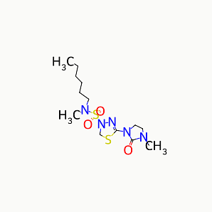 CCCCCCN(C)S(=O)(=O)N1CSC(N2CCN(C)C2=O)=N1